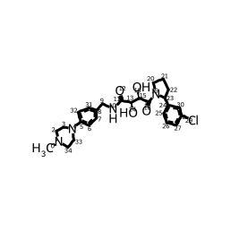 CN1CCN(c2ccc(CNC(=O)[C@H](O)[C@@H](O)C(=O)N3CCCC3c3cccc(Cl)c3)cc2)CC1